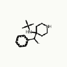 [CH2]C(c1ccccc1)C1(NC(C)(C)C)CCNCC1